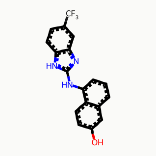 Oc1ccc2c(Nc3nc4cc(C(F)(F)F)ccc4[nH]3)cccc2c1